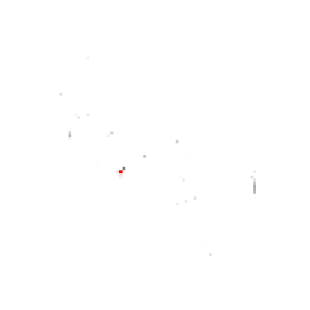 Brc1ccc2sc3ccc(-c4ccc5c(c4)C4(c6ccccc6-5)c5ccccc5-c5ccc6ccccc6c54)cc3c2c1